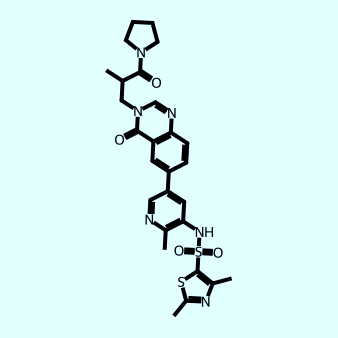 Cc1nc(C)c(S(=O)(=O)Nc2cc(-c3ccc4ncn(CC(C)C(=O)N5CCCC5)c(=O)c4c3)cnc2C)s1